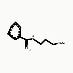 C=C(NCCCOC)c1ccccc1